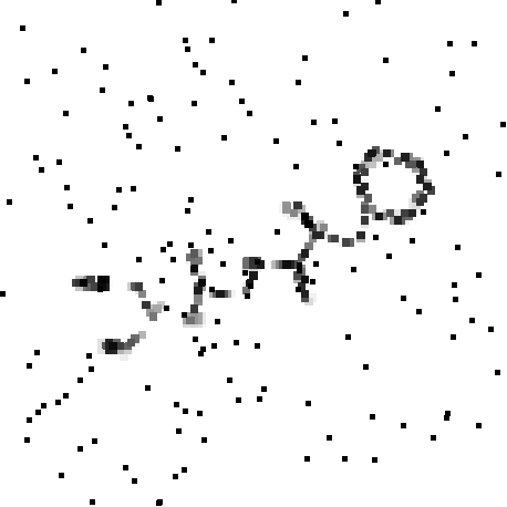 N[C@@H](Cc1cccnc1)C(=O)NCC(=O)N[C@@H](CC(=O)O)C(=O)O